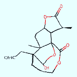 C[C@@H]1C(=O)OC2CC3(C)C4(CC=O)CCCOC(=O)C3(OC4O)C21